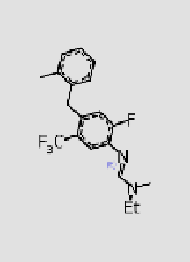 CCN(C)/C=N/c1cc(C(F)(F)F)c(Cc2ccccc2C)cc1F